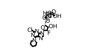 O=P(O)(O)CP(=O)(O)OC[C@H]1O[C@@H](n2cnc3c(N4CCCCC4)nc(Cl)nc32)[C@@H](F)[C@@H]1O